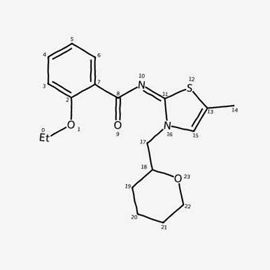 CCOc1ccccc1C(=O)N=c1sc(C)cn1CC1CCCCO1